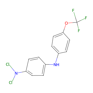 FC(F)(F)Oc1ccc(Nc2ccc(N(Cl)Cl)cc2)cc1